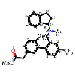 COC(=O)Cc1ccc(OC)c(-c2ccc(C(F)(F)F)cc2CN(C(C)=O)[C@@H]2CCc3ccccc32)c1